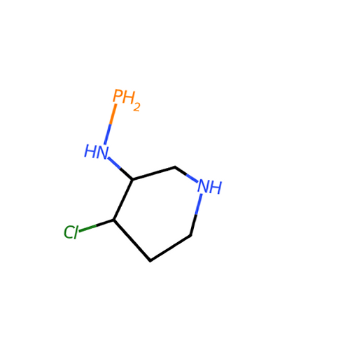 PNC1CNCCC1Cl